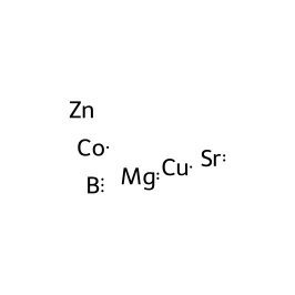 [B].[Co].[Cu].[Mg].[Sr].[Zn]